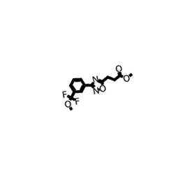 COC(=O)CCc1nc(-c2cccc(C(F)(F)OC)c2)no1